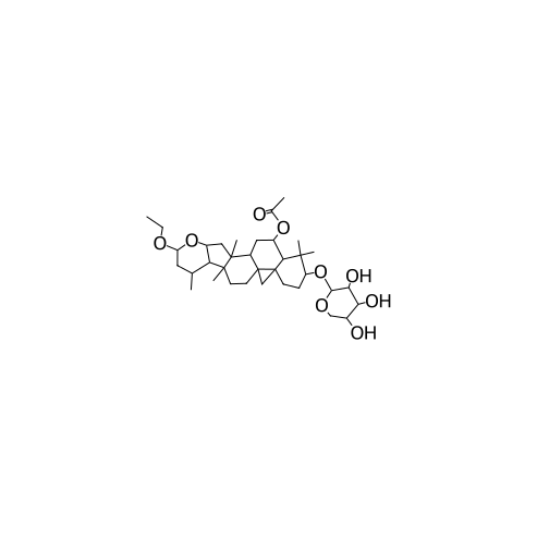 CCOC1CC(C)C2C(CC3(C)C4CC(OC(C)=O)C5C(C)(C)C(OC6OCC(O)C(O)C6O)CCC56CC46CCC23C)O1